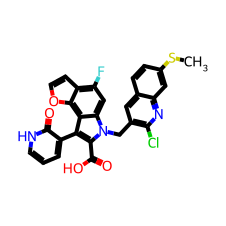 CSc1ccc2cc(Cn3c(C(=O)O)c(-c4ccc[nH]c4=O)c4c5occc5c(F)cc43)c(Cl)nc2c1